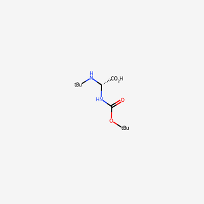 CC(C)(C)N[C@@H](NC(=O)OC(C)(C)C)C(=O)O